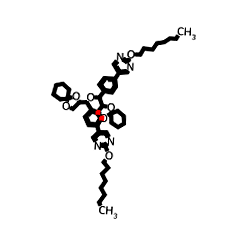 CCCCCCCCOc1ncc(-c2ccc(C(OC(c3ccc(-c4cnc(OCCCCCCCC)nc4)cc3)C3COC4(CCCCC4)O3)C3COC4(CCCCC4)O3)cc2)cn1